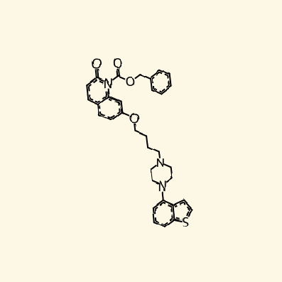 O=C(OCc1ccccc1)n1c(=O)ccc2ccc(OCCCCN3CCN(c4cccc5sccc45)CC3)cc21